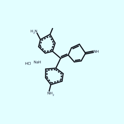 Cc1cc(C(=C2C=CC(=N)C=C2)c2ccc(N)cc2)ccc1N.Cl.[NaH]